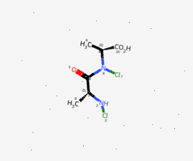 C[C@H](NCl)C(=O)N(Cl)[C@@H](C)C(=O)O